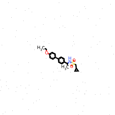 CCOc1ccc(-c2ccc(C(C)NS(=O)(=O)CC3CC3)cc2)cc1